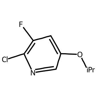 CC(C)Oc1cnc(Cl)c(F)c1